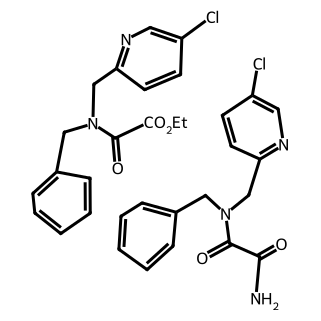 CCOC(=O)C(=O)N(Cc1ccccc1)Cc1ccc(Cl)cn1.NC(=O)C(=O)N(Cc1ccccc1)Cc1ccc(Cl)cn1